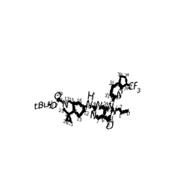 C=CCn1c(=O)c2cnc(Nc3ccc4c(c3)CN(C(=O)OC(C)(C)C)CC43CC3)nc2n1-c1ccc2c(n1)C(C(F)(F)F)CC2